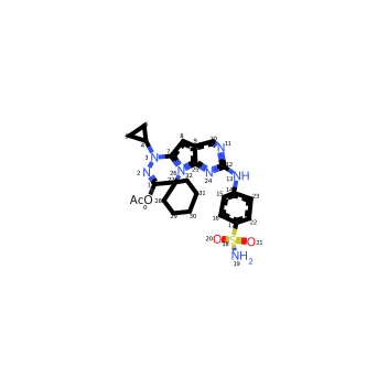 CC(=O)OC1=NN(C2CC2)c2cc3cnc(Nc4ccc(S(N)(=O)=O)cc4)nc3n2C12CCCCC2